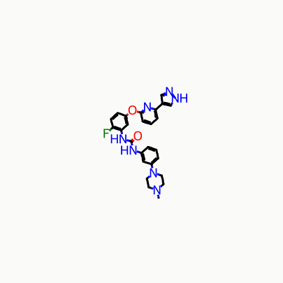 CN1CCN(c2cccc(NC(=O)Nc3cc(Oc4cccc(-c5cn[nH]c5)n4)ccc3F)c2)CC1